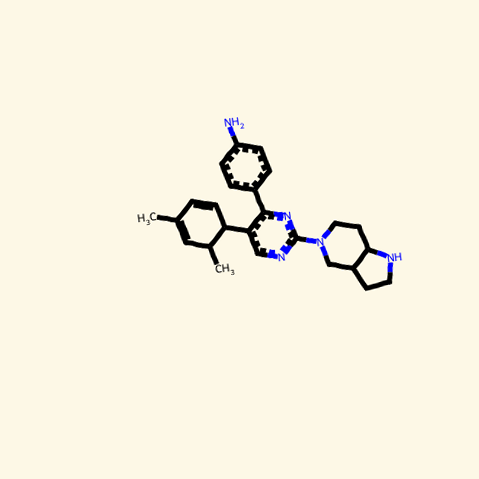 CC1=CC(C)C(c2cnc(N3CCC4NCCC4C3)nc2-c2ccc(N)cc2)C=C1